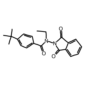 CCN(C(=O)c1ccc(C(C)(C)C)cc1)N1C(=O)c2ccccc2C1=O